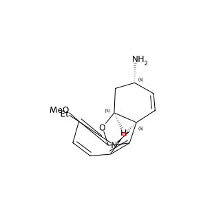 CCN1CC[C@@]23C=C[C@@H](N)C[C@@H]2Oc2c(OC)ccc(c23)C1